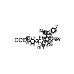 CCCC1(CCCOc2ccc(CC(Cl)C(=O)[O-])cc2)CC(=O)c2c(CCC(C)C)c(OC(=O)c3ccc(C)cc3)c(CCC(C)C)c(CC)c2O1.[Na+]